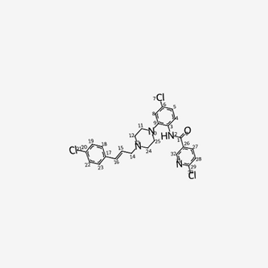 O=C(Nc1ccc(Cl)cc1N1CCN(CC=Cc2ccc(Cl)cc2)CC1)c1ccc(Cl)nc1